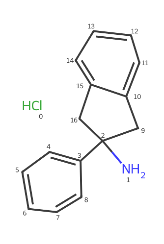 Cl.NC1(c2ccccc2)Cc2ccccc2C1